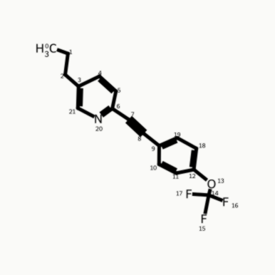 CCCc1ccc(C#Cc2ccc(OC(F)(F)F)cc2)nc1